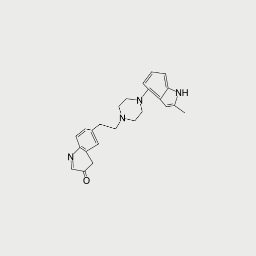 Cc1cc2c(N3CCN(CCc4ccc5c(c4)CC(=O)C=N5)CC3)cccc2[nH]1